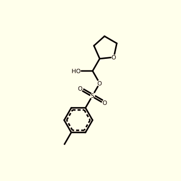 Cc1ccc(S(=O)(=O)OC(O)C2CCCO2)cc1